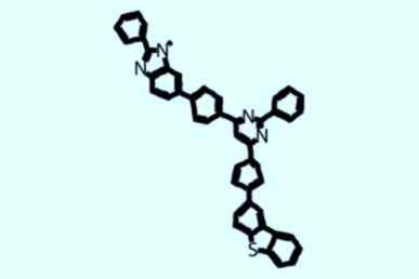 Cn1c(-c2ccccc2)nc2ccc(-c3ccc(-c4cc(-c5ccc(-c6ccc7sc8ccccc8c7c6)cc5)nc(-c5ccccc5)n4)cc3)cc21